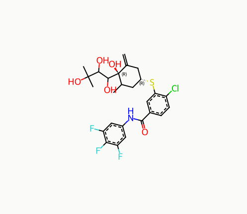 C=C1C[C@H](Sc2cc(C(=O)Nc3cc(F)c(F)c(F)c3)ccc2Cl)CC(C)[C@]1(O)C(O)C(O)C(C)(C)O